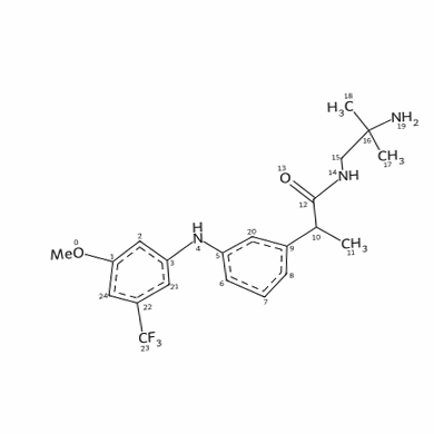 COc1cc(Nc2cccc(C(C)C(=O)NCC(C)(C)N)c2)cc(C(F)(F)F)c1